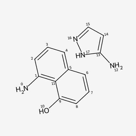 Nc1cccc2cccc(O)c12.Nc1ccn[nH]1